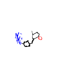 CC1CCC(=O)C(=Cc2ccc(N=[N+]=[N-])cc2)C1